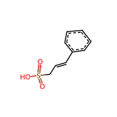 O=S(=O)(O)[CH]/C=C/c1ccccc1